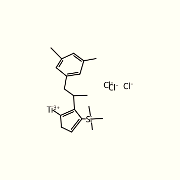 Cc1cc(C)cc(CC(C)C2=[C]([Ti+3])CC=C2[Si](C)(C)C)c1.[Cl-].[Cl-].[Cl-]